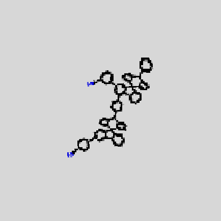 N#Cc1ccc(-c2ccc3c(c2)-c2ccccc2C32c3ccccc3C(c3ccc(-c4cc(-c5cccc(C#N)c5)cc5c4-c4ccccc4C54c5ccccc5C(c5ccccc5)c5ccccc54)cc3)c3ccccc32)cc1